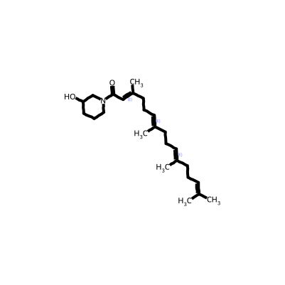 CC(C)=CCC/C(C)=C/CC/C(C)=C/CC/C(C)=C/C(=O)N1CCCC(O)C1